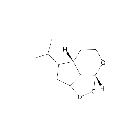 CC(C)C1CC2OO[C@H]3OCC[C@@H]1C23